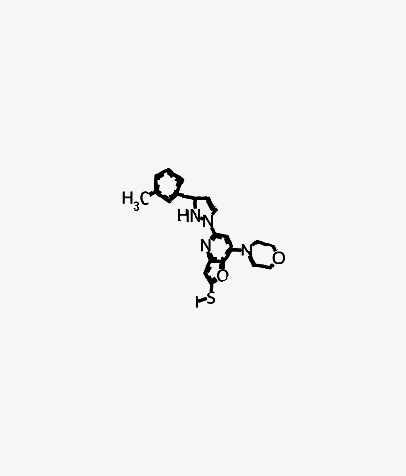 Cc1cccc(C2C=CN(c3cc(N4CCOCC4)c4oc(SI)cc4n3)N2)c1